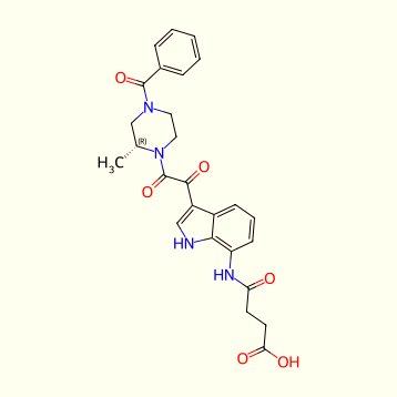 C[C@@H]1CN(C(=O)c2ccccc2)CCN1C(=O)C(=O)c1c[nH]c2c(NC(=O)CCC(=O)O)cccc12